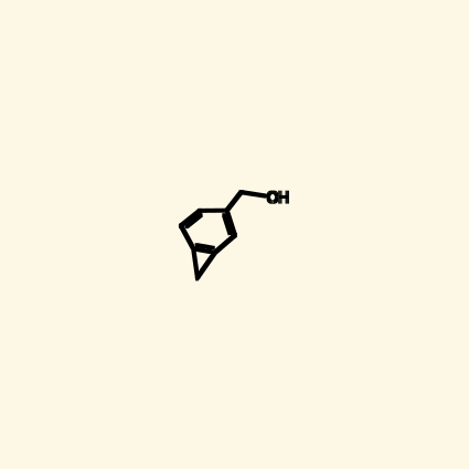 OCc1ccc2c(c1)C2